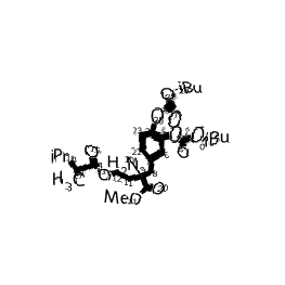 CCC(C)OC(=O)Oc1cc(C[C@](N)(CCOC(=O)C(C)C(C)C)C(=O)OC)ccc1OC(=O)O[C@@H](C)CC